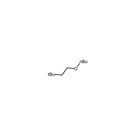 CCC[CH]OCCC(C)(C)C